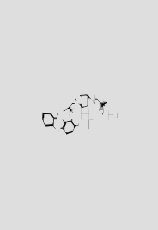 CC(C)(C)OC(=O)CN1CCN(CC(O)CN2c3ccccc3Sc3ccc(C(F)(F)F)cc32)CC1